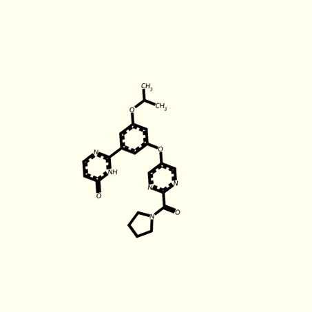 CC(C)Oc1cc(Oc2cnc(C(=O)N3CCCC3)nc2)cc(-c2nccc(=O)[nH]2)c1